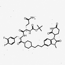 Cn1c(=O)n(C2CCC(=O)NC2=O)c2ccc(CCCC3CCN(C(=O)[C@H](Cc4ccc(F)c(F)c4)NC(=O)[C@H](CCC(N)=O)NC(=O)OC(C)(C)C)CC3)cc21